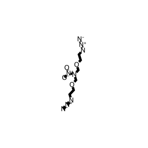 [N-]=[N+]=NCCOCN(COCCN=[N+]=[N-])[N+](=O)[O-]